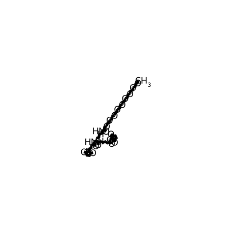 COCCOCCOCCOCCOCCOCCOCCOCCOCC(=O)NCCCC[C@H](NC(=O)CCCN1C(=O)C=CC1=O)C(=O)NCCCC(=O)ON1C(=O)CCC1=O